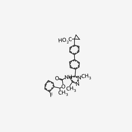 Cc1nn(C)c(-c2ccc(-c3ccc(C4(C(=O)O)CC4)cc3)cc2)c1NC(=O)OC(C)c1ccccc1F